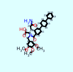 COc1cc(CN(C(=O)c2ccc(-c3ccc(-c4ccccc4)cc3)cc2)[C@@H](CCC(N)=O)C(=O)O)cc(OC)c1OC